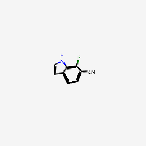 N#Cc1ccc2cc[nH]c2c1F